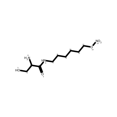 NC(CO)C(=O)NCCCCCCO[N+](=O)[O-]